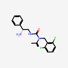 C=C(C)N(Cc1c(F)cccc1F)C(=O)NC[C@H](N)c1ccccc1